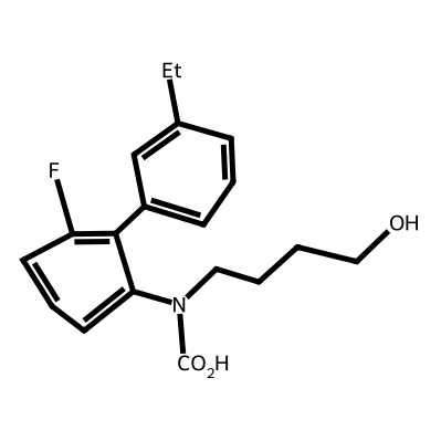 CCc1cccc(-c2c(F)cccc2N(CCCCO)C(=O)O)c1